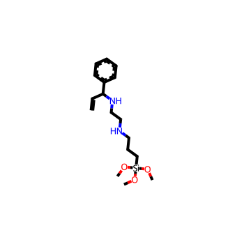 C=CC(NCCNCCC[Si](OC)(OC)OC)c1ccccc1